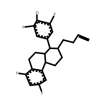 C=CCCC1CCC2c3cc(F)cc(F)c3CCC2C1c1cc(F)c(Cl)c(F)c1